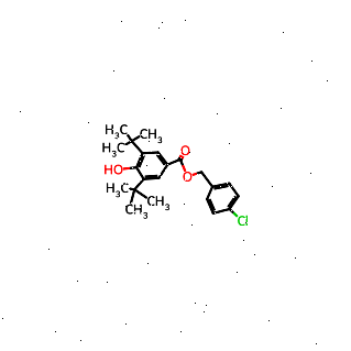 CC(C)(C)c1cc(C(=O)OCc2ccc(Cl)cc2)cc(C(C)(C)C)c1O